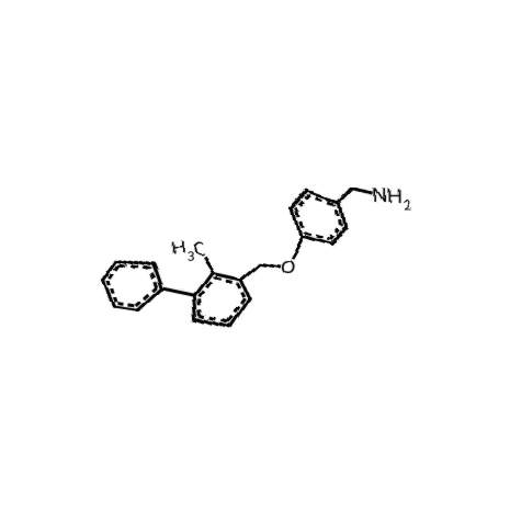 Cc1c(COc2ccc(CN)cc2)cccc1-c1ccccc1